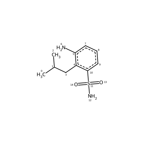 CC(C)Cc1c(N)cccc1S(N)(=O)=O